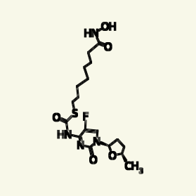 C[C@@H]1CC[C@H](n2cc(F)c(NC(=O)SCCCCCCCC(=O)NO)nc2=O)O1